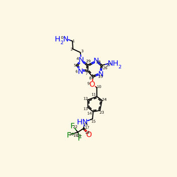 NCCCn1cnc2c(OCc3ccc(CNC(=O)C(F)(F)F)cc3)nc(N)nc21